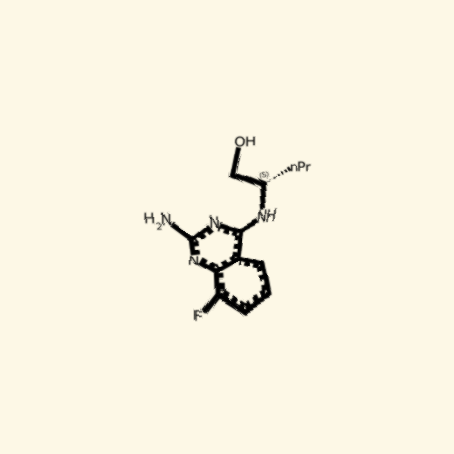 CCC[C@@H](CO)Nc1nc(N)nc2c(F)cccc12